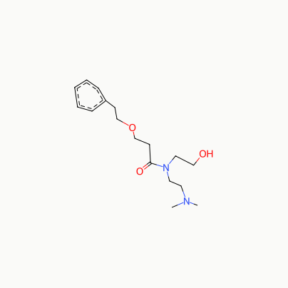 CN(C)CCN(CCO)C(=O)CCOCCc1ccccc1